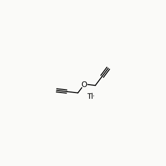 C#CCOCC#C.[Tl]